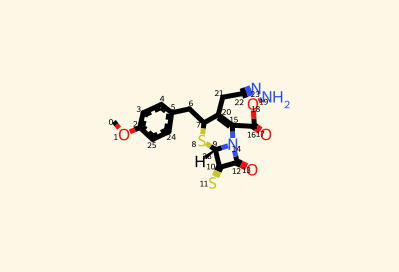 COc1ccc(CC2S[C@H]3C(=S)C(=O)N3C(C(=O)ON)=C2CC#N)cc1